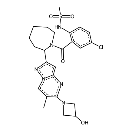 Cc1cn2nc(C3CCCCCN3C(=O)c3cc(Cl)ccc3NS(C)(=O)=O)cc2nc1N1CC(O)C1